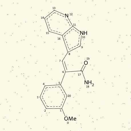 COc1cccc(/C(=C/c2c[nH]c3ncccc23)C(N)=O)c1